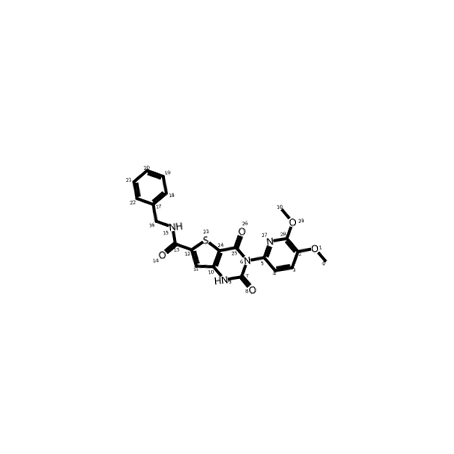 COc1ccc(-n2c(=O)[nH]c3cc(C(=O)NCc4ccccc4)sc3c2=O)nc1OC